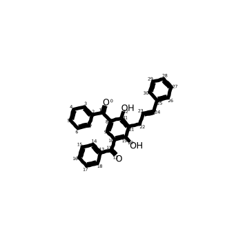 O=C(c1ccccc1)c1cc(C(=O)c2ccccc2)c(O)c(CC=Cc2ccccc2)c1O